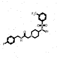 CC(C)N(C1CCN(CC(=O)NCc2ccc(F)cc2)CC1)S(=O)(=O)c1cccc(C(F)(F)F)c1